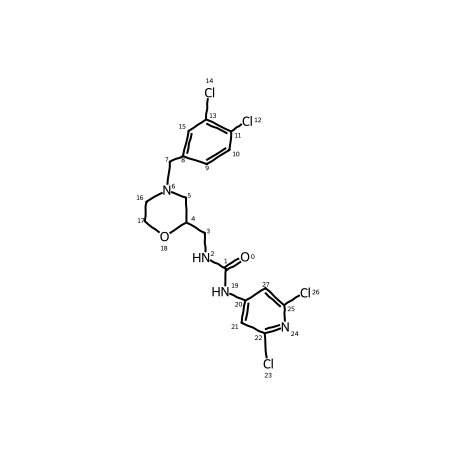 O=C(NCC1CN(Cc2ccc(Cl)c(Cl)c2)CCO1)Nc1cc(Cl)nc(Cl)c1